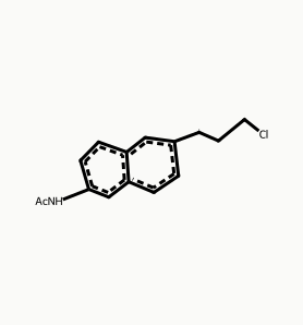 CC(=O)Nc1ccc2cc([CH]CCCl)ccc2c1